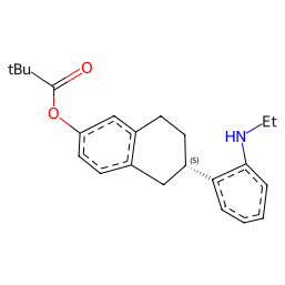 CCNc1ccccc1[C@H]1CCc2cc(OC(=O)C(C)(C)C)ccc2C1